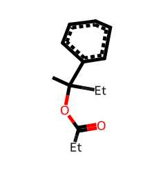 CCC(=O)OC(C)(CC)c1ccccc1